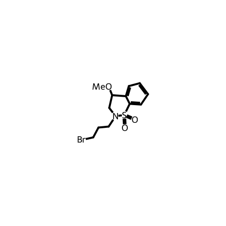 COC1CN(CCCBr)S(=O)(=O)c2ccccc21